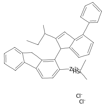 CCC(C)C1=Cc2c(-c3ccccc3)cccc2C1c1[c]([Zr+2][SiH](C)C)ccc2c1Cc1ccccc1-2.[Cl-].[Cl-]